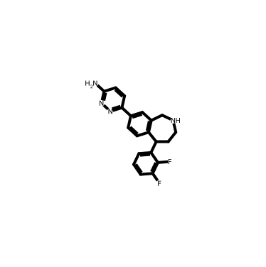 Nc1ccc(-c2ccc3c(c2)CNCCC3c2cccc(F)c2F)nn1